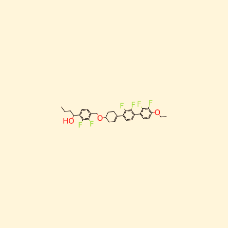 CCCC(O)c1ccc(COC2CC=C(c3ccc(-c4ccc(OCC)c(F)c4F)c(F)c3F)CC2)c(F)c1F